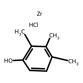 Cc1ccc(O)c(C)c1C.Cl.[Zr]